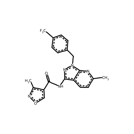 Cc1ccc2c(NC(=O)c3conc3C)nn(Cc3ccc(C(F)(F)F)cc3)c2n1